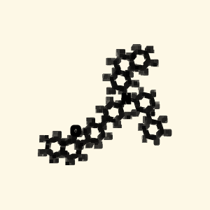 c1ccc(-c2cccc(N(c3ccc(-c4ccc5c(c4)oc4c6ccccc6ccc54)cc3)c3ccc4ccc5ccccc5c4c3)c2)cc1